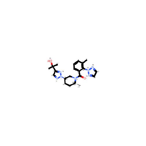 Cc1cccc(C(=O)N2C[C@H](n3ncc(C(C)(C)O)n3)CC[C@H]2C)c1-n1nccn1